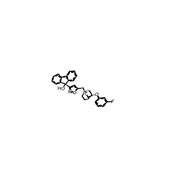 OC1(c2cc(C[N+]34CCC(CC3)C(Oc3cccc(F)c3)C4)on2)c2ccccc2-c2ccccc21